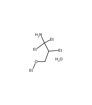 CCOCC(CC)C(N)(CC)CC.O